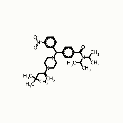 C=C(CC(C)(C)C)N1CCN(C(c2ccc(C(=O)N(C(C)C)C(C)C)cc2)c2cccc([N+](=O)[O-])c2)CC1